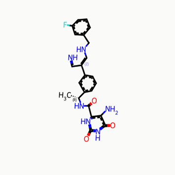 C[C@@H](NC(=O)c1[nH]c(=O)[nH]c(=O)c1N)c1cccc(/C(C=N)=C/NCc2cccc(F)c2)c1